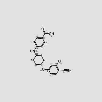 N#Cc1ccc(O[C@H]2CC[C@H](Nc3ccc(C(=O)O)cc3)CC2)cc1Cl